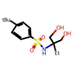 CCC(CO)(CO)NS(=O)(=O)c1ccc(C(C)(C)C)cc1